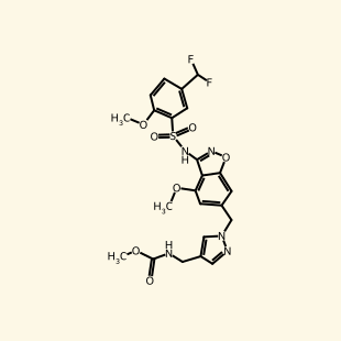 COC(=O)NCc1cnn(Cc2cc(OC)c3c(NS(=O)(=O)c4cc(C(F)F)ccc4OC)noc3c2)c1